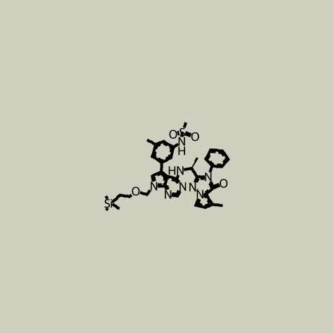 Cc1cc(NS(C)(=O)=O)cc(-c2cn(COCC[Si](C)(C)C)c3ncnc(N[C@@H](C)c4nn5ccc(C)c5c(=O)n4-c4ccccc4)c23)c1